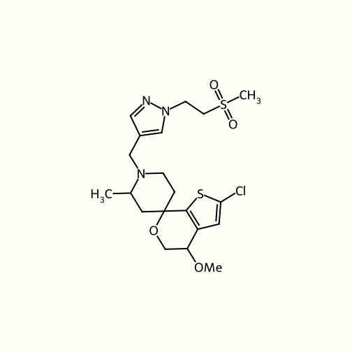 COC1COC2(CCN(Cc3cnn(CCS(C)(=O)=O)c3)C(C)C2)c2sc(Cl)cc21